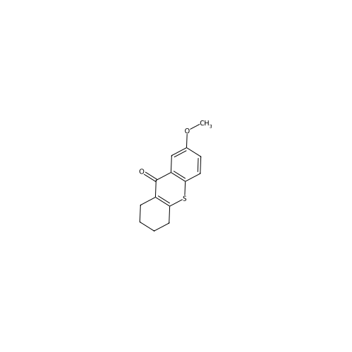 COc1ccc2sc3c(c(=O)c2c1)CCCC3